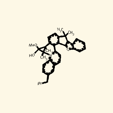 COC1(O)C2(C)c3ccc4c(c3-c3ccc5cc(CC(C)C)ccc5[n+]3C12C)-c1oc2ccccc2c1C4(C)C